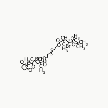 CC(C)(C)OC(=O)C(Br)CC(C)(C)C(=O)OCCSSCCOC(=O)C(C)(C)CC(C)(Br)C(=O)ON1C(=O)CCC1=O